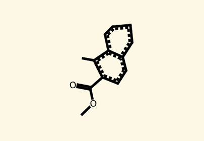 COC(=O)c1ccc2ccccc2c1C